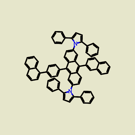 c1ccc(-c2ccc(-c3ccccc3)n2-c2ccc3c(-c4ccc5ccccc5c4)c4cc(-n5c(-c6ccccc6)ccc5-c5ccccc5)ccc4c(-c4ccc(-c5cccc6ccccc56)cc4)c3c2)cc1